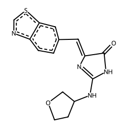 O=C1NC(NC2CCOC2)=N/C1=C\c1ccc2ncsc2c1